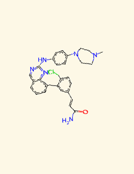 CN1CCN(c2ccc(Nc3ncc4cccc(-c5cc(C=CC(N)=O)ccc5Cl)c4n3)cc2)CC1